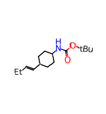 CC/C=C/C1CCC(NC(=O)OC(C)(C)C)CC1